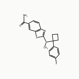 CN(c1nc2ccc(C(N)=O)cc2s1)C1(c2ccc(F)cc2)CCC1